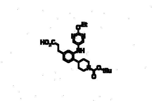 CCOc1ncc(Nc2cc(CCC(=O)O)ccc2C2CCN(C(=O)OC(C)(C)C)CC2)cn1